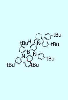 CC(C)(C)c1ccc(N2c3cc(N4c5ccc(C(C)(C)C)cc5C5(c6ccc(C(C)(C)C)cc6)CCCCC45C)ccc3B3c4cc(C(C)(C)C)ccc4N(c4ccc(C(C)(C)C)cc4-c4ccccc4)c4cc(C(C)(C)C)cc2c43)cc1